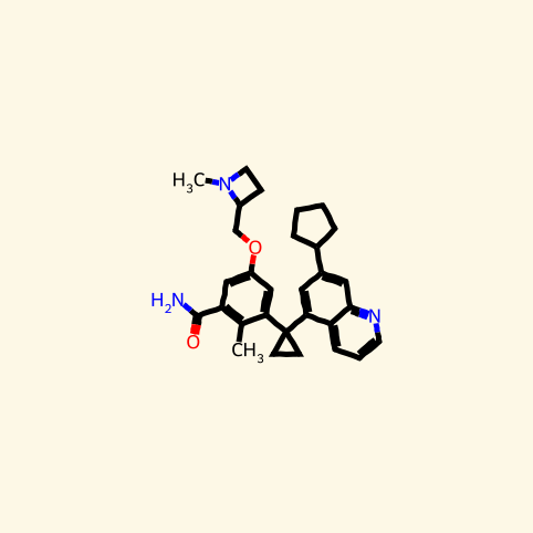 Cc1c(C(N)=O)cc(OCC2CCN2C)cc1C1(c2cc(C3CCCC3)cc3ncccc23)CC1